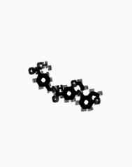 C[S+]([O-])c1ccc(CNC(=O)c2ccc3c(c2)OCCN3c2cccc3c2CCO3)cc1